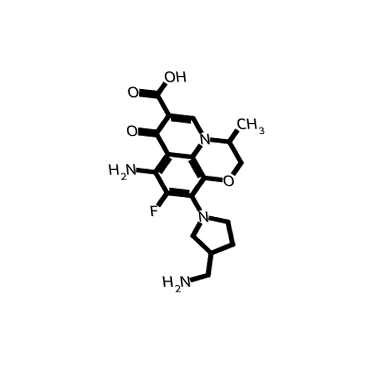 CC1COc2c(N3CCC(CN)C3)c(F)c(N)c3c(=O)c(C(=O)O)cn1c23